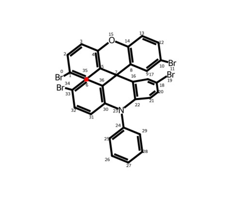 Brc1ccc2c(c1)C1(c3cc(Br)ccc3O2)c2cc(Br)ccc2N(c2ccccc2)c2ccc(Br)cc21